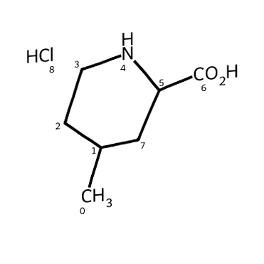 CC1CCNC(C(=O)O)C1.Cl